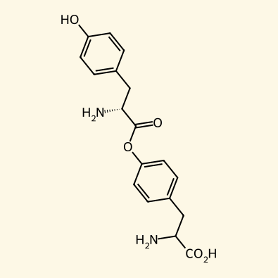 NC(Cc1ccc(OC(=O)[C@H](N)Cc2ccc(O)cc2)cc1)C(=O)O